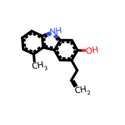 C=CCc1cc2c(cc1O)[nH]c1cccc(C)c12